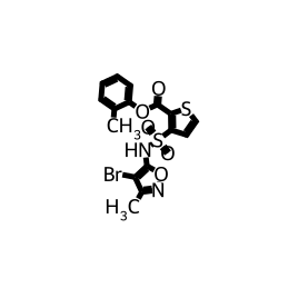 Cc1ccccc1OC(=O)c1sccc1S(=O)(=O)Nc1onc(C)c1Br